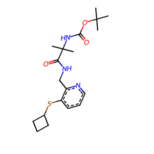 CC(C)(C)OC(=O)NC(C)(C)C(=O)NCc1ncccc1SC1CCC1